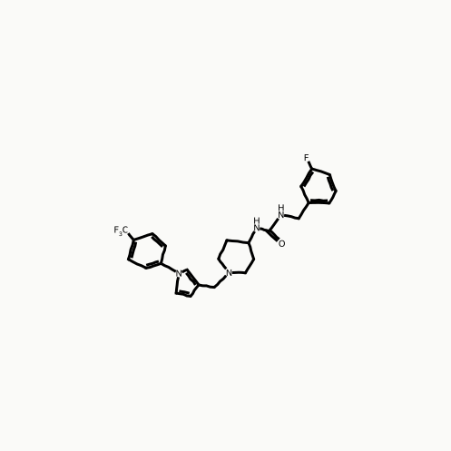 O=C(NCc1cccc(F)c1)NC1CCN(Cc2ccn(-c3ccc(C(F)(F)F)cc3)c2)CC1